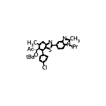 CC(=O)[C@@H](OC(C)(C)C)c1c(C)cc2nc(-c3ccc4c(c3)nc(C)n4C(C)C)sc2c1-c1ccc(Cl)cc1